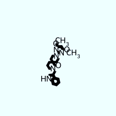 COc1cc(OC)nc(N2CCC3(CCCN(Cc4c[nH]c5ccccc45)C3=O)CC2)n1